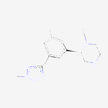 CCN1CCNC[C@H]1c1cc(Cl)cc(-c2nnn(C)n2)c1